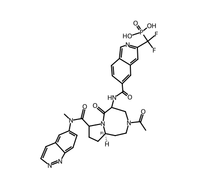 CC(=O)N1CC[C@H]2CCC(C(=O)N(C)c3ccc4nnccc4c3)N2C(=O)C(NC(=O)c2ccc3cnc(C(F)(F)P(=O)(O)O)cc3c2)C1